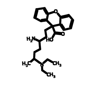 CCN(CC)C(C)CCC(N)CCC1(C(=O)O)c2ccccc2Oc2ccccc21